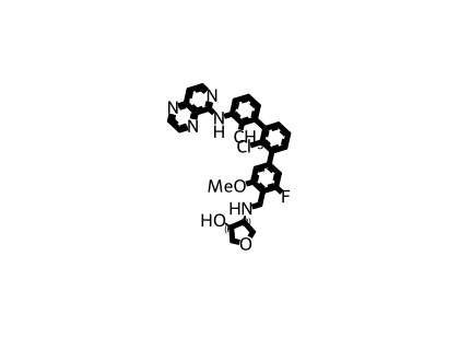 COc1cc(-c2cccc(-c3cccc(Nc4nccc5nccnc45)c3C)c2Cl)cc(F)c1CN[C@@H]1COC[C@@H]1O